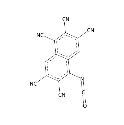 N#Cc1cc2c(N=C=O)c(C#N)c(C#N)cc2c(C#N)c1C#N